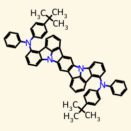 CC(C)(C)c1ccc(N(c2ccccc2)c2cccc3c2c2cccc4c5cc6c(cc5n3c42)c2cccc3c4c(N(c5ccccc5)c5ccc(C(C)(C)C)cc5)cccc4n6c23)cc1